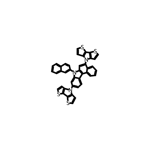 c1ccc2cc(-n3c4cc(-n5c6ccsc6c6sccc65)ccc4c4c5ccccc5c(-n5c6ccsc6c6sccc65)cc43)ccc2c1